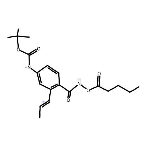 C/C=C/c1cc(NC(=O)OC(C)(C)C)ccc1C(=O)NOC(=O)CCCC